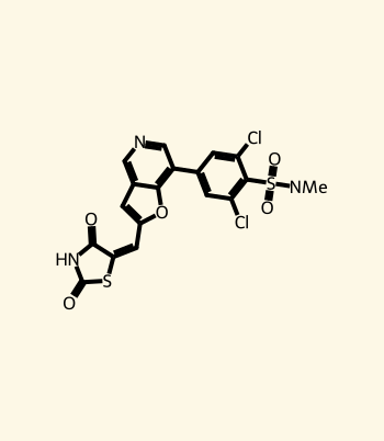 CNS(=O)(=O)c1c(Cl)cc(-c2cncc3cc(C=C4SC(=O)NC4=O)oc23)cc1Cl